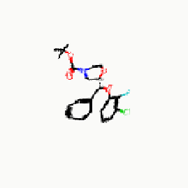 CC(C)(C)OC(=O)N1CCO[C@H](C(Oc2cccc(Cl)c2F)c2ccccc2)C1